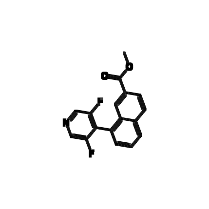 COC(=O)c1ccc2cccc(-c3c(F)cncc3F)c2c1